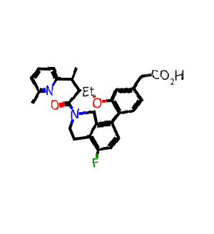 CCOc1cc(CC(=O)O)ccc1-c1ccc(F)c2c1CN(C(=O)CC(C)c1cccc(C)n1)CC2